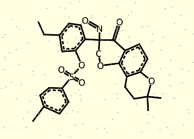 CCc1ccc(C2(N=O)COc3c(ccc4c3CCC(C)(C)O4)C2=O)c(OS(=O)(=O)c2ccc(C)cc2)c1